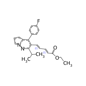 CCOC(=O)/C=C/C=C/c1c(C(C)C)nn2cccc2c1-c1ccc(F)cc1